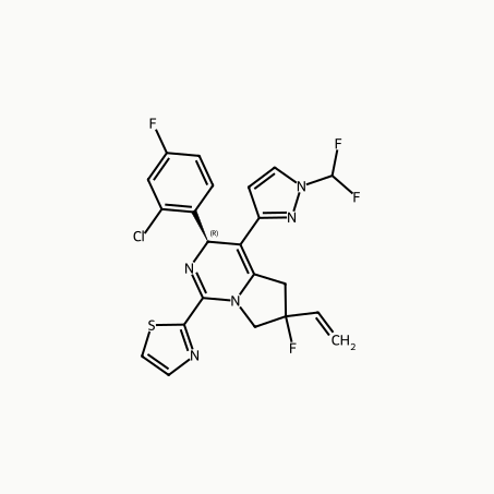 C=CC1(F)CC2=C(c3ccn(C(F)F)n3)[C@H](c3ccc(F)cc3Cl)N=C(c3nccs3)N2C1